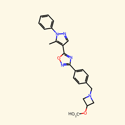 Cc1c(-c2nc(-c3ccc(CN4CC(OC(=O)O)C4)cc3)no2)cnn1-c1ccccc1